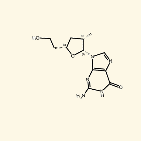 C[C@H]1C[C@@H](CCO)O[C@H]1n1cnc2c(=O)[nH]c(N)nc21